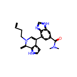 C=CCCN1C=C(c2cc(C(=O)N(C)C)cc3[nH]cnc23)c2cc[nH]c2C1=C